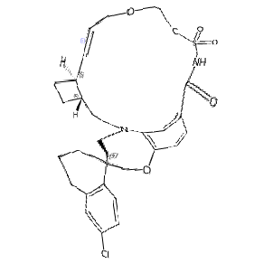 O=C1NS(=O)(=O)CCOC/C=C/[C@@H]2CC[C@H]2CN2C[C@@]3(CCCc4cc(Cl)ccc43)COc3ccc1cc32